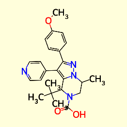 COc1ccc(-c2nn3c(c2-c2ccncc2)C(C(C)(C)C)N(C(=O)O)CC3C)cc1